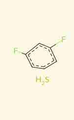 Fc1cccc(F)c1.S